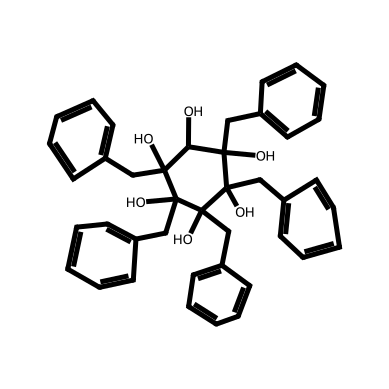 OC1C(O)(Cc2ccccc2)C(O)(Cc2ccccc2)C(O)(Cc2ccccc2)C(O)(Cc2ccccc2)C1(O)Cc1ccccc1